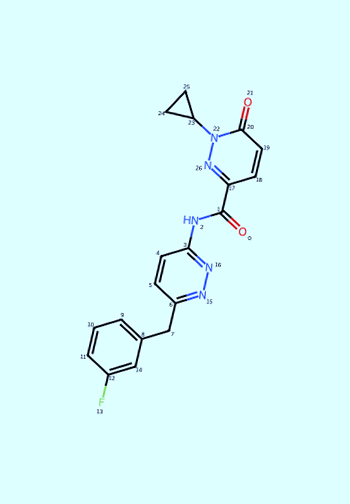 O=C(Nc1ccc(Cc2cccc(F)c2)nn1)c1ccc(=O)n(C2CC2)n1